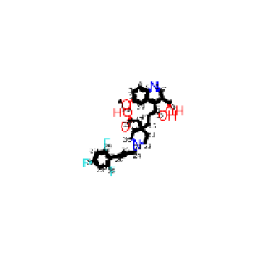 COc1ccc2ncc(CO)c([C@H](O)CCC3(CC(=O)O)CCN(CC#Cc4c(F)cc(F)cc4F)CC3)c2c1